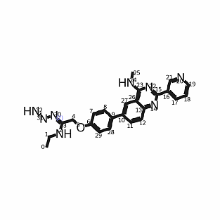 CCN/C(COc1ccc(-c2ccc3nc(-c4cccnc4)nc(NC)c3c2)cc1)=N\N=N